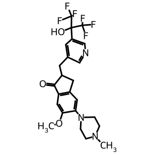 COc1cc2c(cc1N1CCN(C)CC1)CC(Cc1cncc(C(O)(C(F)(F)F)C(F)(F)F)c1)C2=O